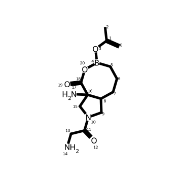 C=C(C)OB1CCCC2CN(C(=O)CN)CC2(N)C(=O)O1